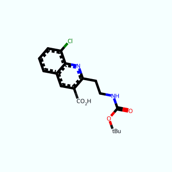 CC(C)(C)OC(=O)NCCc1nc2c(Cl)cccc2cc1C(=O)O